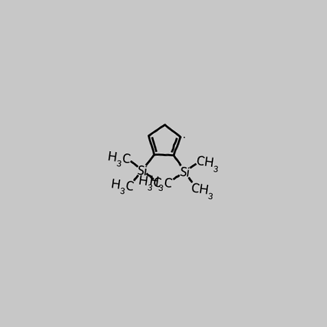 C[Si](C)(C)C1=[C]CC=C1[Si](C)(C)C